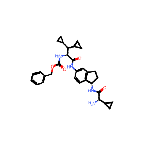 N[C@@H](C(=O)N[C@@H]1CCc2cc(NC(=O)[C@@H](NC(=O)OCc3ccccc3)C(C3CC3)C3CC3)ccc21)C1CC1